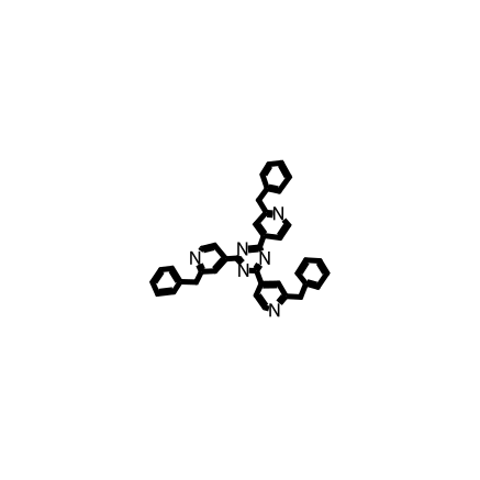 c1ccc(Cc2cc(-c3nc(-c4ccnc(Cc5ccccc5)c4)nc(-c4ccnc(Cc5ccccc5)c4)n3)ccn2)cc1